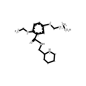 CC(=O)O.O=C(NCC1CCCCN1)c1cc(OCC(F)(F)F)ccc1OCC(F)(F)F